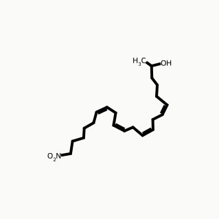 CC(O)CCC/C=C\C/C=C\C/C=C\C/C=C\CCCCC[N+](=O)[O-]